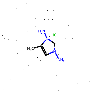 CC1=CN(N)CN1N.Cl